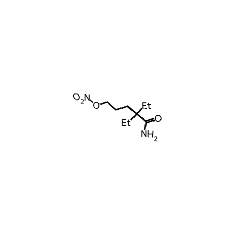 CCC(CC)(CCCO[N+](=O)[O-])C(N)=O